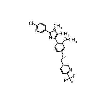 COc1cc(OCc2ccc(C(F)(F)F)nc2)ccc1-c1nc(-c2ccc(Cl)nc2)n(C)c1C